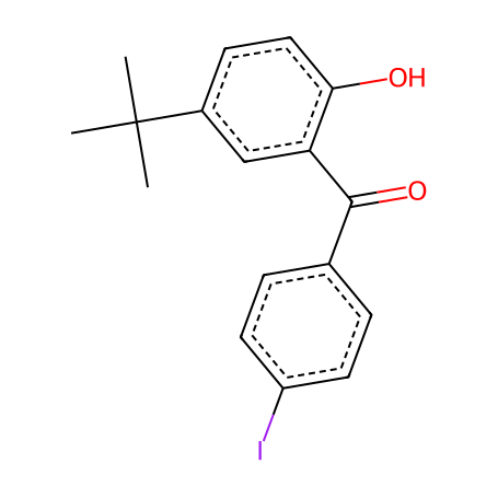 CC(C)(C)c1ccc(O)c(C(=O)c2ccc(I)cc2)c1